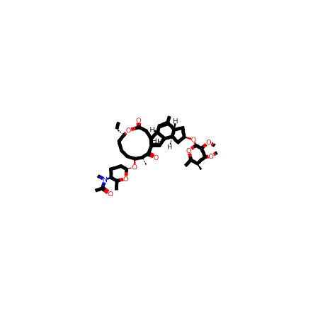 CC[C@H]1CCC[C@H](O[C@H]2CC[C@H](N(C)C(C)=O)C(C)O2)[C@@H](C)C(=O)C2=C[C@@H]3[C@@H](C=C(C)[C@@H]4C[C@@H](O[C@@H]5OC(C)[C@H](C)C(OC)C5OC)C[C@@H]34)[C@@H]2CC(=O)O1